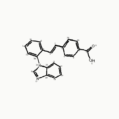 O=C(O)c1ccc(C=Cc2ccccc2-n2cnc3ccccc32)cc1